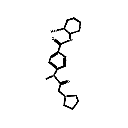 CN(C(=O)CN1CCCC1)c1ccc(C(=O)NC2CCCCC2N)cc1